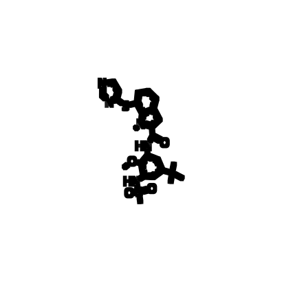 COc1c(NC(=O)c2cc3cccc(Sc4ccncn4)c3n2C)cc(C(C)(C)C)cc1NS(C)(=O)=O